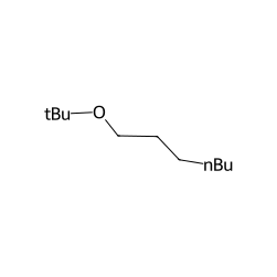 CCCCCCCOC(C)(C)C